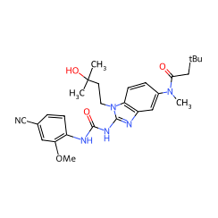 COc1cc(C#N)ccc1NC(=O)Nc1nc2cc(N(C)C(=O)CC(C)(C)C)ccc2n1CCC(C)(C)O